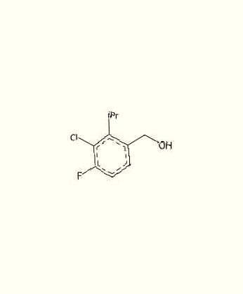 CC(C)c1c(CO)ccc(F)c1Cl